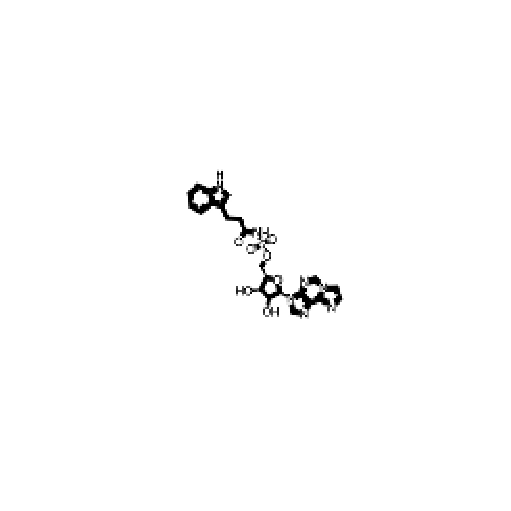 O=C(CCc1c[nH]c2ccccc12)NS(=O)(=O)OC[C@H]1O[C@@H](n2cnc3c2ncn2ccnc32)C(O)[C@H]1O